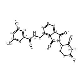 O=C1CCC(N2C(=O)c3cccc(CNC(=O)c4cc(Cl)cc(Cl)c4)c3C2=O)C(=O)N1